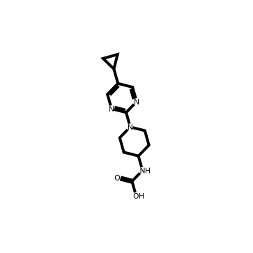 O=C(O)NC1CCN(c2ncc(C3CC3)cn2)CC1